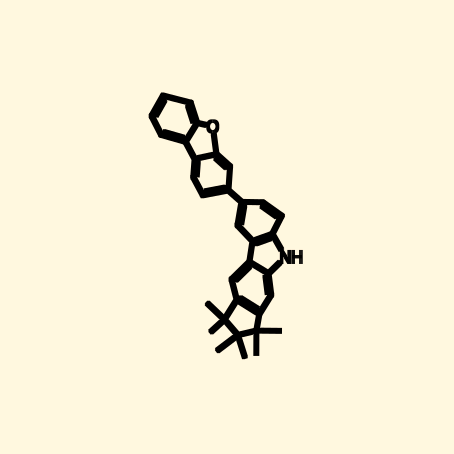 CC1(C)c2cc3[nH]c4ccc(-c5ccc6c(c5)oc5ccccc56)cc4c3cc2C(C)(C)C1(C)C